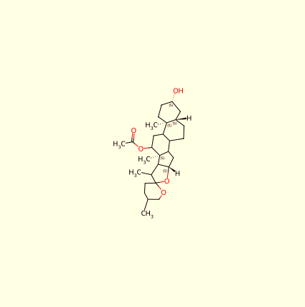 CC(=O)OC1CC2C(CC[C@H]3C[C@@H](O)CC[C@]23C)C2C[C@@H]3OC4(CCC(C)CO4)C(C)C3[C@@]12C